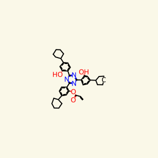 C=CC(=O)Oc1cc(C2CCCCC2)ccc1-c1nc(-c2ccc(C3CCCCC3)cc2O)nc(-c2ccc(C3CCCCC3)cc2O)n1